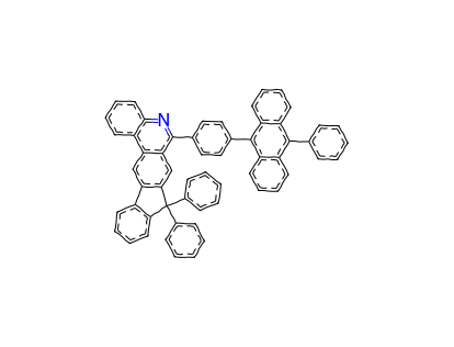 c1ccc(-c2c3ccccc3c(-c3ccc(-c4nc5ccccc5c5cc6c(cc45)C(c4ccccc4)(c4ccccc4)c4ccccc4-6)cc3)c3ccccc23)cc1